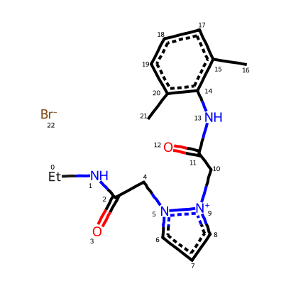 CCNC(=O)Cn1ccc[n+]1CC(=O)Nc1c(C)cccc1C.[Br-]